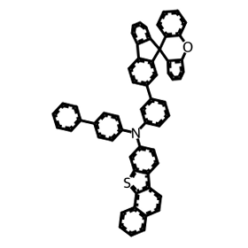 c1ccc(-c2ccc(N(c3cccc(-c4ccc5c(c4)C4(c6ccccc6Oc6ccccc64)c4ccccc4-5)c3)c3ccc4c(c3)sc3c5ccccc5ccc43)cc2)cc1